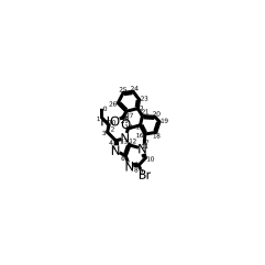 CCCCc1nc2nc(Br)cnc2n1Cc1c(C)cccc1-c1ccccc1C(=O)O